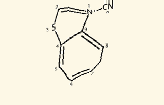 N#C[n+]1csc2ccccc21